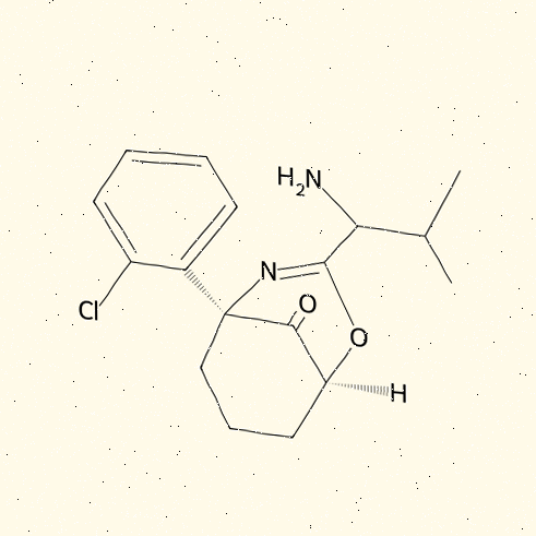 CC(C)C(N)C1=N[C@]2(c3ccccc3Cl)CCC[C@H](O1)C2=O